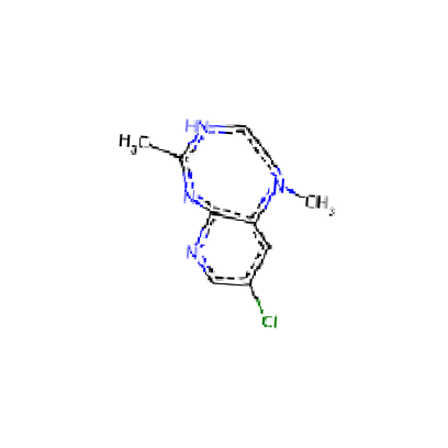 Cc1nc2ncc(Cl)cc2n(C)cc[nH]1